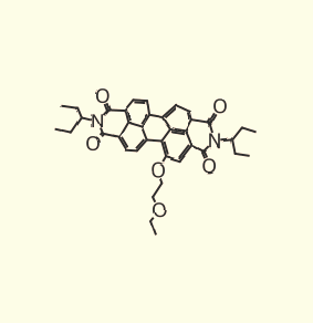 CCOCCOc1cc2c3c(ccc4c5ccc6c7c(ccc(c1c34)c75)C(=O)N(C(CC)CC)C6=O)C(=O)N(C(CC)CC)C2=O